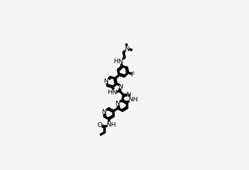 CCC(=O)Nc1cncc(-c2ccc3[nH]nc(-c4nc5c(-c6cc(F)cc(NCCN(C)C)c6)cncc5[nH]4)c3n2)c1